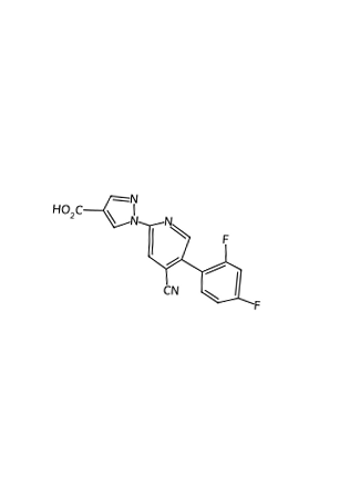 N#Cc1cc(-n2cc(C(=O)O)cn2)ncc1-c1ccc(F)cc1F